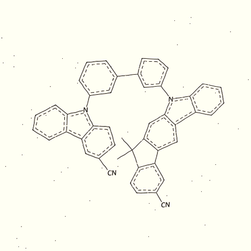 CC1(C)c2ccc(C#N)cc2-c2cc3c4ccccc4n(-c4cccc(-c5cccc(-n6c7ccccc7c7cc(C#N)ccc76)c5)c4)c3cc21